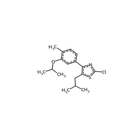 Cc1ccc(-c2nc(Cl)sc2CC(C)C)cc1OC(C)C